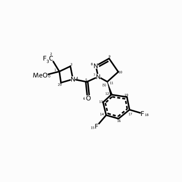 COC1(C(F)(F)F)CN(C(=O)N2N=CC[C@H]2c2cc(F)cc(F)c2)C1